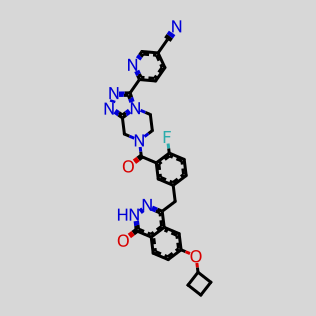 N#Cc1ccc(-c2nnc3n2CCN(C(=O)c2cc(Cc4n[nH]c(=O)c5ccc(OC6CCC6)cc45)ccc2F)C3)nc1